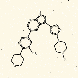 CCN1CCC(n2cc(-c3c[nH]c4ncc(-c5cnc(C6CCOCC6)c(C)c5)cc34)cn2)CC1